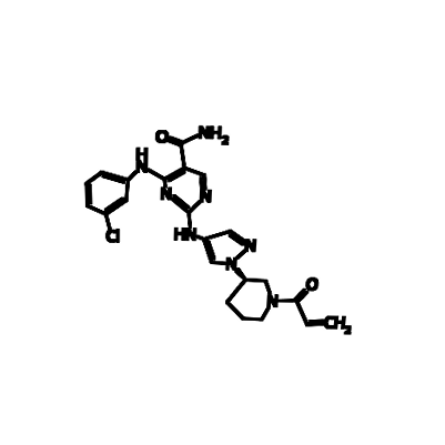 C=CC(=O)N1CCC[C@@H](n2cc(Nc3ncc(C(N)=O)c(Nc4cccc(Cl)c4)n3)cn2)C1